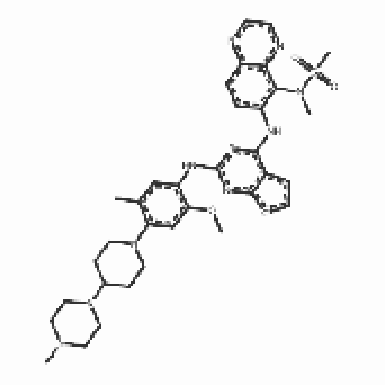 COc1cc(N2CCC(N3CCN(C)CC3)CC2)c(C)cc1Nc1nc(Nc2ccc3nccnc3c2N(C)S(C)(=O)=O)c2ccoc2n1